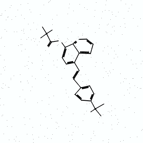 CC(C)(C)C(=O)Nc1ccc(C=Cc2ccc(C(F)(F)F)cc2)c2cccnc12